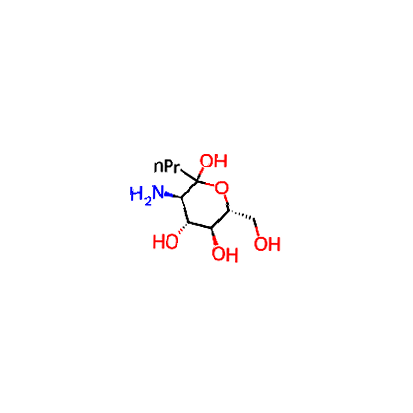 CCCC1(O)O[C@H](CO)[C@@H](O)[C@H](O)[C@H]1N